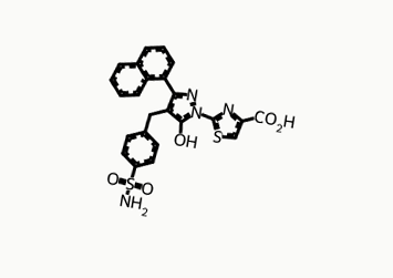 NS(=O)(=O)c1ccc(Cc2c(-c3cccc4ccccc34)nn(-c3nc(C(=O)O)cs3)c2O)cc1